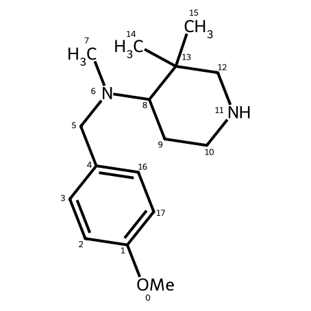 COc1ccc(CN(C)C2CCNCC2(C)C)cc1